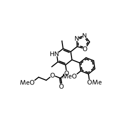 COCCOC(=O)OC1=C(C)NC(C)=C(c2nnco2)C1c1cccc(OC)c1OC